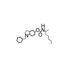 CCCCCC(C)NC(=O)Oc1ccc2c(c1)CCN2Cc1ccccc1